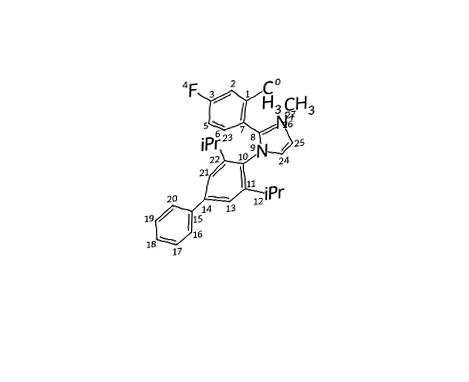 Cc1cc(F)ccc1-c1n(-c2c(C(C)C)cc(-c3ccccc3)cc2C(C)C)cc[n+]1C